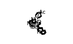 CC[C@H](C)n1ncc2nc(N3CCN(C(C)=O)CC3)nc(NC(COC)c3cnc4ccccc4c3)c21